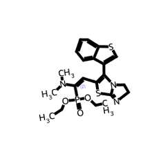 CCOP(=O)(OCC)/C(=C\C1=C(c2csc3ccccc23)N2CCN=C2S1)N(C)C